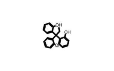 CCC(c1ccccc1O)(c1ccccc1O)c1ccccc1O